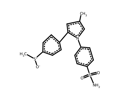 Cc1cc(-c2ccc([S+](C)[O-])cc2)n(-c2ccc(S(N)(=O)=O)cc2)c1